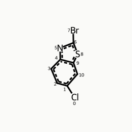 Clc1ccc2nc(Br)sc2c1